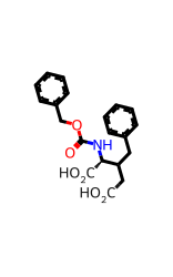 O=C(O)CC(Cc1ccccc1)[C@H](NC(=O)OCc1ccccc1)C(=O)O